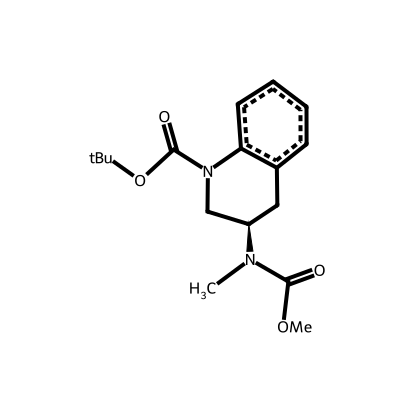 COC(=O)N(C)[C@@H]1Cc2ccccc2N(C(=O)OC(C)(C)C)C1